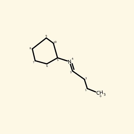 CCCC=NC1CCCCC1